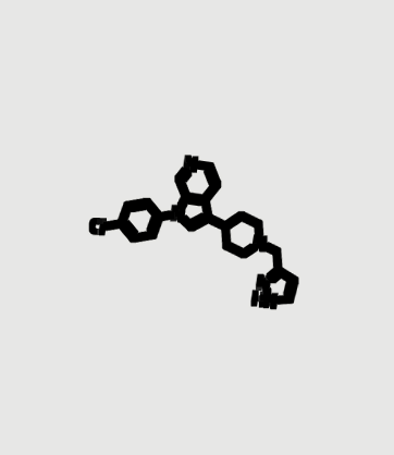 Clc1ccc(-n2cc(C3CCN(Cc4cc[nH]n4)CC3)c3ccncc32)cc1